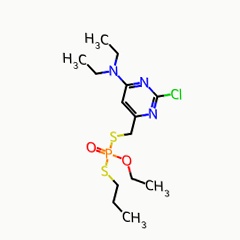 CCCSP(=O)(OCC)SCc1cc(N(CC)CC)nc(Cl)n1